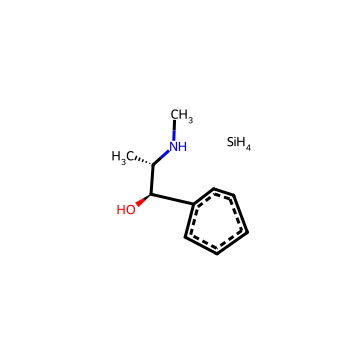 CN[C@@H](C)[C@H](O)c1ccccc1.[SiH4]